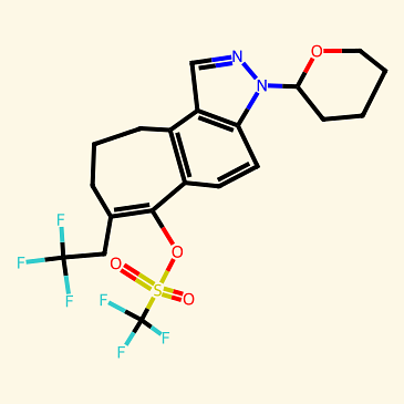 O=S(=O)(OC1=C(CC(F)(F)F)CCCc2c1ccc1c2cnn1C1CCCCO1)C(F)(F)F